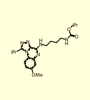 COc1ccc2c(c1)nc(NCCCCNC(=O)OC(C)C)c1nnc(C(C)C)n12